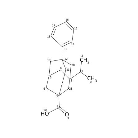 CC(C)C12CC3CC(C(=O)O)(CC(c4ccccc4)(C3)C1)C2